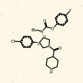 CCC(C)N(C(=O)Oc1ccc(F)cc1)[C@@H]1CN(C(=O)C2CCNCC2)C[C@H]1c1ccc(Cl)cc1